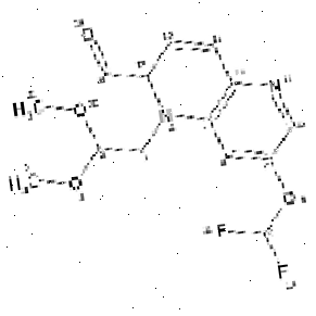 COC(CN1c2cc(OC(F)F)cnc2C=CC1C=O)OC